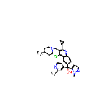 Cn1nccc1C(O)(c1ccnc(C(F)(F)F)c1)c1ccc2nc(C3CC3)c(CN3CCC(C(F)(F)F)CC3)c(Cl)c2c1